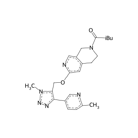 CCC(C)C(=O)N1CCc2cc(OCc3c(-c4ccc(C)nc4)nnn3C)ncc2C1